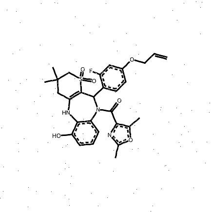 C=CCOc1ccc(C2C3=C(CC(C)(C)CS3(=O)=O)Nc3c(O)cccc3N2C(=O)c2nc(C)oc2C)c(F)c1